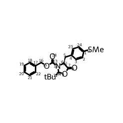 CSc1ccc(C[C@H]2C(=O)O[C@@H](C(C)(C)C)N2C(=O)OCc2ccccc2)cc1